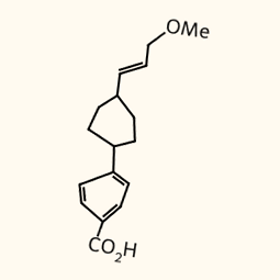 COC/C=C/C1CCC(c2ccc(C(=O)O)cc2)CC1